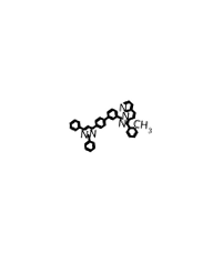 CC1C=CC=CC1c1nc(-c2cccc(-c3ccc(-c4cc(-c5ccccc5)nc(-c5ccccc5)n4)cc3)c2)n2c1ccc1cccnc12